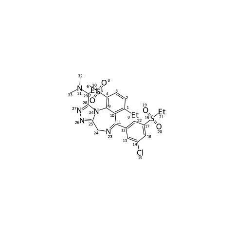 CCc1ccc(S(C)(=O)=O)c2c1C(c1cc(Cl)cc(S(=O)(=O)CC)c1)=NCc1nnc(C(CC)N(C)C)n1-2